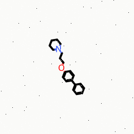 c1ccc(-c2ccc(OCCCN3CCCCC3)cc2)cc1